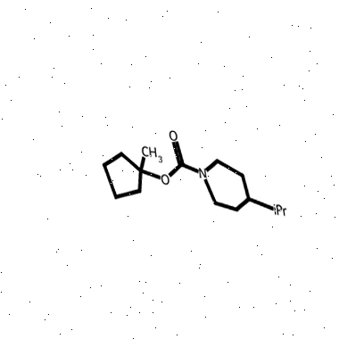 CC(C)C1CCN(C(=O)OC2(C)CCCC2)CC1